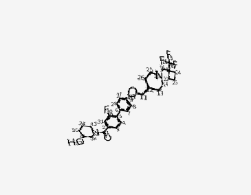 O=C(c1ccc(-c2ccc(OCC3CCN(CC4(C(F)(F)F)CCC4)CC3)cc2)c(F)c1)N1CCCC(O)C1